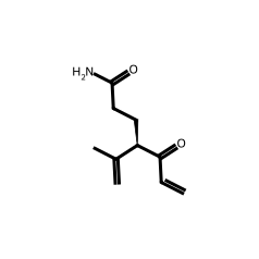 C=CC(=O)[C@H](CCC(N)=O)C(=C)C